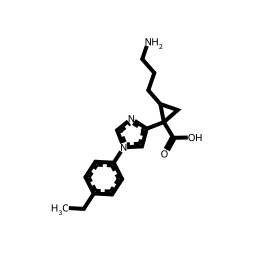 CCc1ccc(-n2cnc(C3(C(=O)O)CC3CCCN)c2)cc1